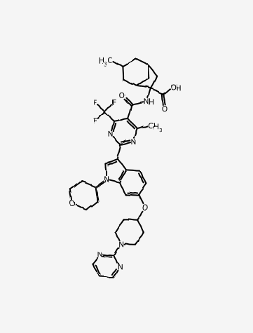 Cc1nc(-c2cn(C3CCOCC3)c3cc(OC4CCN(c5ncccn5)CC4)ccc23)nc(C(F)(F)F)c1C(=O)NC1(C(=O)O)CC2CC(C)CC1C2